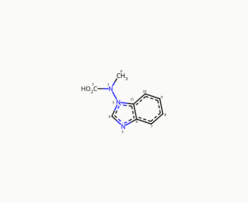 CN(C(=O)O)n1cnc2ccccc21